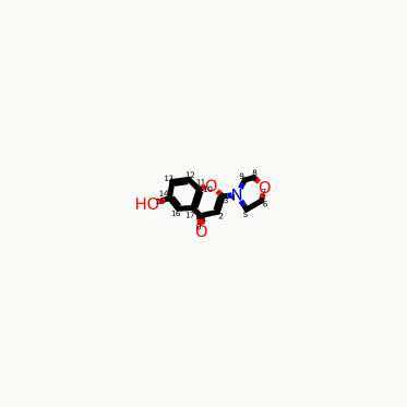 O=c1cc(N2CCOCC2)oc2ccc(O)cc12